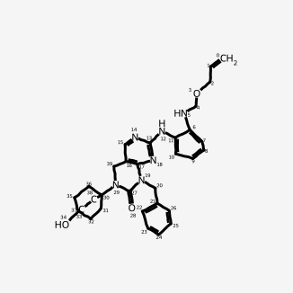 C=CCOCNc1ccccc1Nc1ncc2c(n1)N(Cc1ccccc1)C(=O)N(C13CCC(O)(CC1)CC3)C2